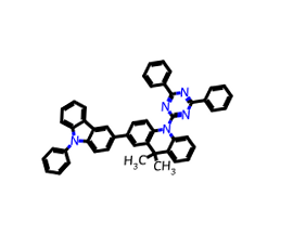 CC1(C)c2ccccc2N(c2nc(-c3ccccc3)nc(-c3ccccc3)n2)c2ccc(-c3ccc4c(c3)c3ccccc3n4-c3ccccc3)cc21